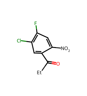 CCC(=O)c1cc(Cl)c(F)cc1[N+](=O)[O-]